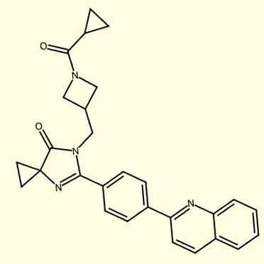 O=C(C1CC1)N1CC(CN2C(=O)C3(CC3)N=C2c2ccc(-c3ccc4ccccc4n3)cc2)C1